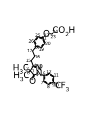 CC1(C)C(=O)N(c2ccc(C(F)(F)F)cc2)N=C1CCCc1ccc(OCC(=O)O)cc1